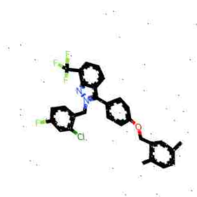 Cc1ccc(C)c(COc2ccc(-c3c4cccc(C(F)(F)F)c4nn3Cc3ccc(F)cc3Cl)cc2)c1